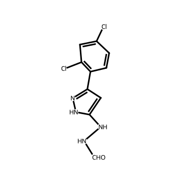 O=CNNc1cc(-c2ccc(Cl)cc2Cl)n[nH]1